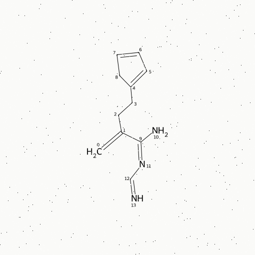 C=C(CCC1=CC=CC1)/C(N)=N\C=N